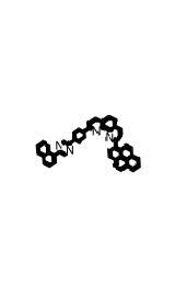 c1ccc2c(-c3cnc(-c4ccc(-c5ccc6ccc7ccc(-c8ccc9ccc%10cccc%11ccc8c9c%10%11)nc7c6n5)cc4)cn3)cccc2c1